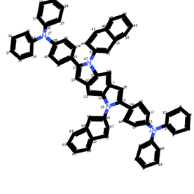 c1ccc(N(c2ccccc2)c2ccc(-c3cc4cc5c(cc(-c6ccc(N(c7ccccc7)c7ccccc7)cc6)n5-c5ccc6ccccc6c5)cc4n3-c3ccc4ccccc4c3)cc2)cc1